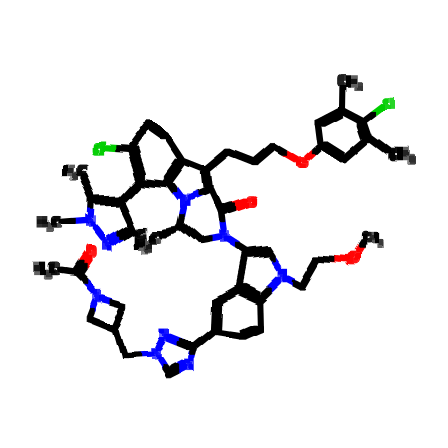 COCCn1cc(N2C[C@@H](C)n3c(c(CCCOc4cc(C)c(Cl)c(C)c4)c4ccc(Cl)c(-c5c(C)nn(C)c5C)c43)C2=O)c2cc(-c3ncn(CC4CN(C(C)=O)C4)n3)ccc21